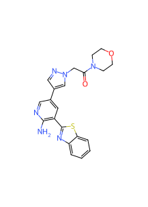 Nc1ncc(-c2cnn(CC(=O)N3CCOCC3)c2)cc1-c1nc2ccccc2s1